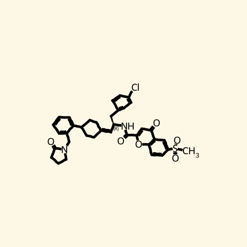 CS(=O)(=O)c1ccc2oc(C(=O)N[C@@H](C=C3CCC(c4ccccc4CN4CCCC4=O)CC3)Cc3ccc(Cl)cc3)cc(=O)c2c1